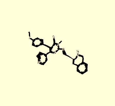 CSc1ccc(-c2c(-c3ccncc3)nc(N=C[C@@H]3Cc4ccccc4CN3)n(C)c2=O)cc1